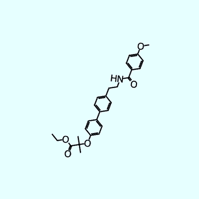 CCOC(=O)C(C)(C)Oc1ccc(-c2ccc(CCNC(=O)c3ccc(OC)cc3)cc2)cc1